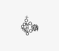 CC(=O)N1CCN(C(=O)c2ccc(Nc3nc(-c4cccc(NC(=O)c5ccc(C(C)(C)C)cc5)c4)cn4ccnc34)cc2)CC1